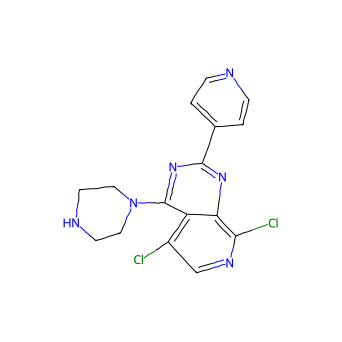 Clc1ncc(Cl)c2c(N3CCNCC3)nc(-c3ccncc3)nc12